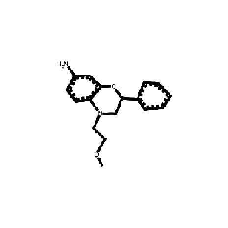 COCCN1CC(c2ccccc2)Oc2cc(N)ccc21